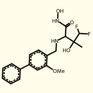 COc1cc(-c2ccccc2)ccc1CNC(C(=O)NO)C(C)(O)C(F)F